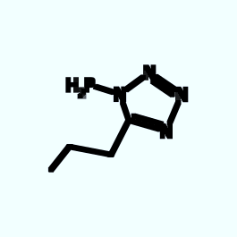 CCCc1nnnn1P